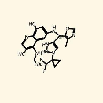 Cc1ncoc1[C@H](Nc1cc(C#N)c2ncc(C#N)c(NCC(C)(C)C)c2c1)C1=CN(C2(C(F)F)CC2)NN1